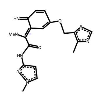 CN/C(C(=O)Nc1ccn(C)n1)=C1/C=C(OCc2scnc2C)C=CC1=N